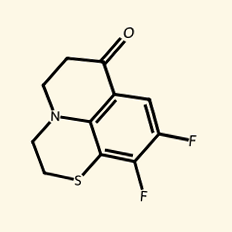 O=C1CCN2CCSc3c(F)c(F)cc1c32